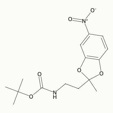 CC(C)(C)OC(=O)NCCC1(C)Oc2ccc([N+](=O)[O-])cc2O1